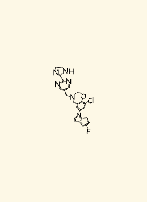 Fc1ccc2c(ccn2-c2cc(Cl)c3c(c2)CN(Cc2cnc(C4=NCCN4)nc2)CCO3)c1